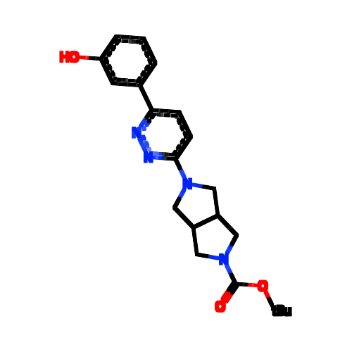 CC(C)(C)OC(=O)N1CC2CN(c3ccc(-c4cccc(O)c4)nn3)CC2C1